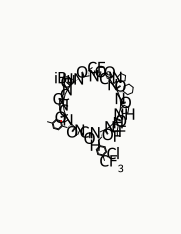 CC[C@H](C)[C@@H]1NC(=O)[C@H](CC(F)(F)F)N(C)C(=O)C[C@@H](C(=O)N2CCCC2)N(C)C(=O)[C@H](C2CCCCC2)N(C)C(=O)C2(CCCC2)NC(=O)[C@@H]2CC(F)(F)CN2C(=O)[C@H](CCc2ccc(C(F)(F)F)c(Cl)c2)NC(=O)CN(C)C(=O)[C@H](Cc2ccc(C)cc2)N(C)C(=O)CN(C)C(=O)CN(C)C1=O